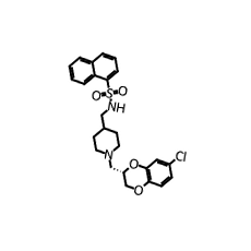 O=S(=O)(NCC1CCN(C[C@H]2COc3ccc(Cl)cc3O2)CC1)c1cccc2ccccc12